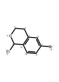 CCC1OCCc2cc(Br)ccc21